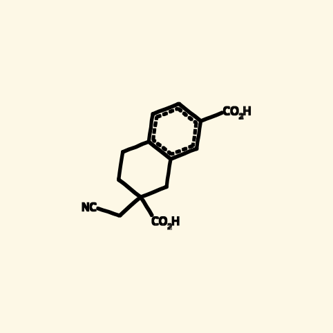 N#CCC1(C(=O)O)CCc2ccc(C(=O)O)cc2C1